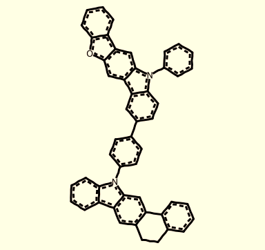 c1ccc(-n2c3ccc(-c4ccc(-n5c6ccccc6c6cc7c(cc65)-c5ccccc5CC7)cc4)cc3c3cc4oc5ccccc5c4cc32)cc1